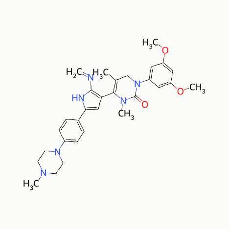 C=Nc1[nH]c(-c2ccc(N3CCN(C)CC3)cc2)cc1C1=C(C)CN(c2cc(OC)cc(OC)c2)C(=O)N1C